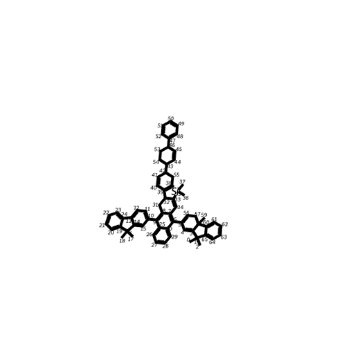 CC1(C)C2=CC(c3c4c(c(-c5ccc6c(c5)C(C)(C)c5ccccc5-6)c5ccccc35)CC3C(=C4)[Si](C)(C)C4=C3C=CC(C3C=CC(c5ccccc5)CC3)C4)=CCC2(C)c2ccccc21